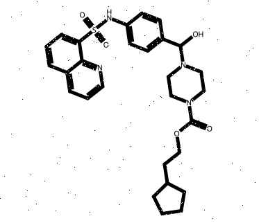 O=C(OCCC1CCCC1)N1CCN(C(O)c2ccc(NS(=O)(=O)c3cccc4cccnc34)cc2)CC1